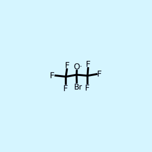 [O]C(Br)(C(F)(F)F)C(F)(F)F